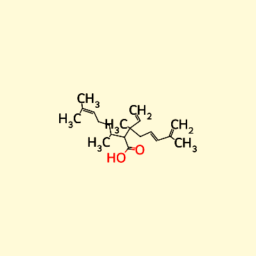 C=CC(C)(CC=CC(=C)C)C(C(=O)O)C(C)CCC=C(C)C